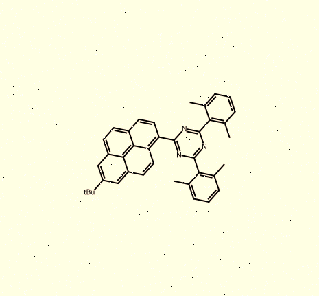 Cc1cccc(C)c1-c1nc(-c2c(C)cccc2C)nc(-c2ccc3ccc4cc(C(C)(C)C)cc5ccc2c3c45)n1